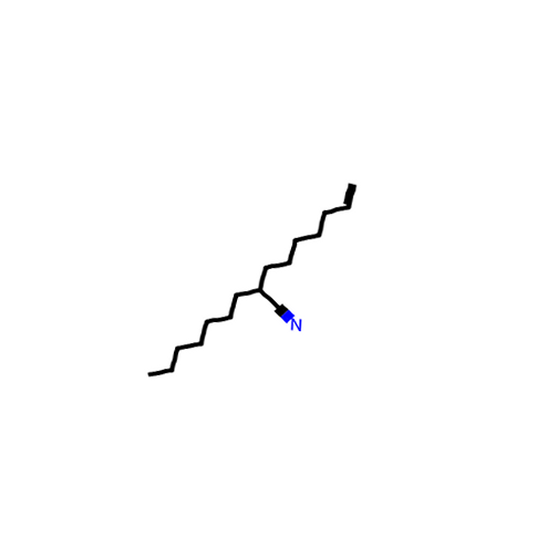 C=CCCCCCC(C#N)CCCCCCC